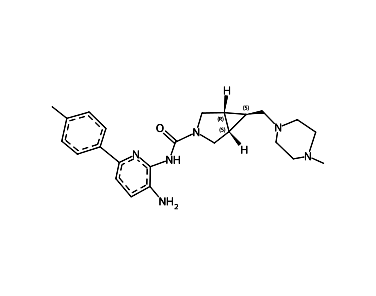 Cc1ccc(-c2ccc(N)c(NC(=O)N3C[C@@H]4[C@@H](CN5CCN(C)CC5)[C@@H]4C3)n2)cc1